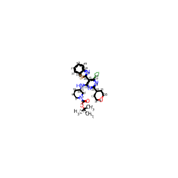 CC(C)(C)OC(=O)N1CCC[C@@H](Nc2nc(C3CCOCC3)nc(Cl)c2-c2nc3ccccc3s2)C1